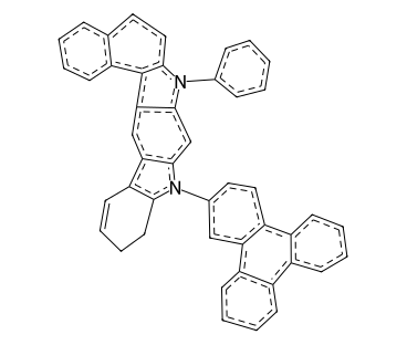 C1=Cc2c(n(-c3ccc4c5ccccc5c5ccccc5c4c3)c3cc4c(cc23)c2c3ccccc3ccc2n4-c2ccccc2)CC1